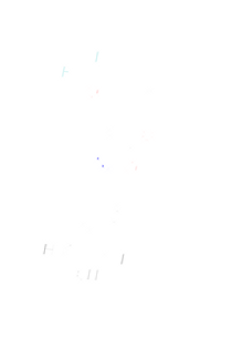 CC(C)(C)c1ccc(C2=NC(=Cc3ccccc3OC(F)F)C(=O)O2)cc1